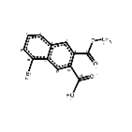 COC(=O)c1cc2cccc(Br)c2cc1C(=O)O